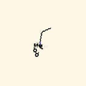 CCCCCCCC(F)(F)CCCCCC/C=C/[C@H](C(=O)N[C@@H](Cc1ccc(-c2ccccc2F)cc1)C(=O)O)[C@@](O)(CCOC)C(=O)O